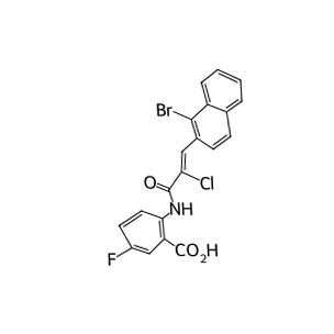 O=C(Nc1ccc(F)cc1C(=O)O)/C(Cl)=C/c1ccc2ccccc2c1Br